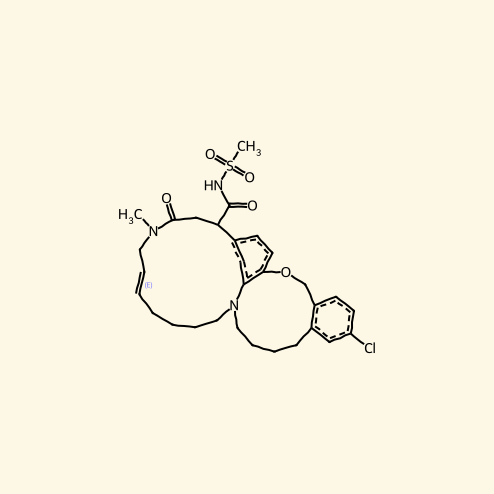 CN1C/C=C/CCCCN2CCCCc3cc(Cl)ccc3COc3ccc(cc32)C(C(=O)NS(C)(=O)=O)CC1=O